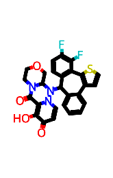 O=C1c2c(O)c(=O)ccn2N(C2c3ccccc3-c3ccsc3-c3c2ccc(F)c3F)C2COCCN12